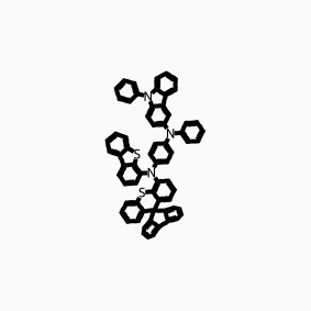 c1ccc(N(c2ccc(N(c3cccc4c3Sc3ccccc3C43c4ccccc4-c4ccccc43)c3cccc4c3sc3ccccc34)cc2)c2ccc3c(c2)c2ccccc2n3-c2ccccc2)cc1